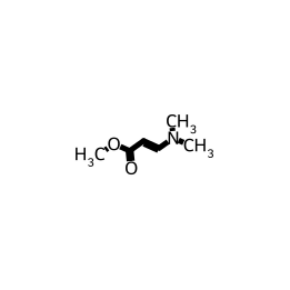 COC(=O)C=CN(C)C